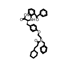 COC(=O)[C@H](Cc1ccc(OCCN(Cc2ccccc2)C(=O)CCC2CCCCC2)cc1)Nc1ccccc1C(=O)c1ccccc1